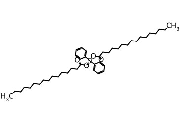 CCCCCCCCCCCCCCCC(=O)O[Si](OC(=O)CCCCCCCCCCCCCCC)(c1ccccc1)c1ccccc1